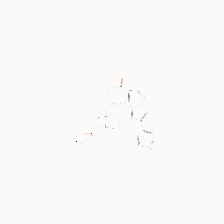 CC(C)(C)OC(=O)N[C@@]1(C)CC[C@@H](Nc2c(C(N)=O)cnn3cc(-c4ccncc4)cc23)C1(C)C